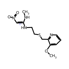 CN/C(=C\[N+](=O)[O-])NCCSCc1ncccc1OC